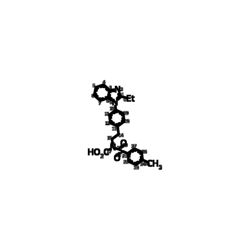 CCc1nc2ccccc2n1-c1ccc(CCN(C(=O)O)S(=O)(=O)c2ccc(C)cc2)cc1